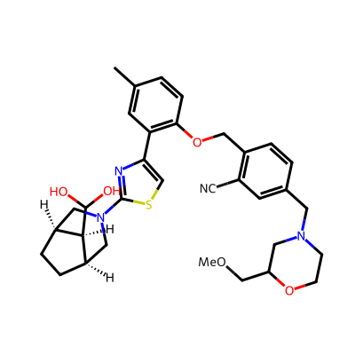 COCC1CN(Cc2ccc(COc3ccc(C)cc3-c3csc(N4C[C@H]5CC[C@@H](C4)[C@H]5C(O)O)n3)c(C#N)c2)CCO1